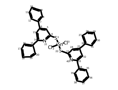 [Cl][Sn]([Cl])([S]c1cc(-c2ccccc2)cc(-c2ccccc2)n1)[S]c1cc(-c2ccccc2)cc(-c2ccccc2)n1